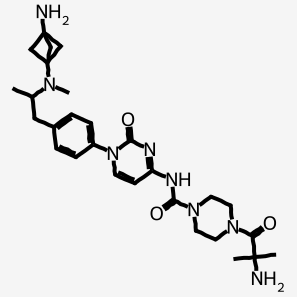 CC(Cc1ccc(-n2ccc(NC(=O)N3CCN(C(=O)C(C)(C)N)CC3)nc2=O)cc1)N(C)C12CC(N)(C1)C2